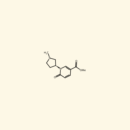 COC(=O)c1ccc(=O)n([C@H]2CCN(C)C2)c1